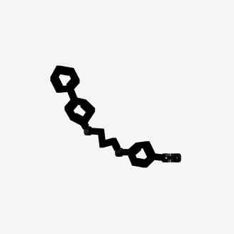 O=Cc1ccc(OCCCOc2ccc(-c3ccccc3)cc2)cc1